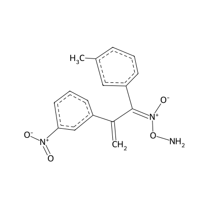 C=C(/C(c1cccc(C)c1)=[N+](/[O-])ON)c1cccc([N+](=O)[O-])c1